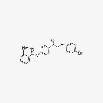 O=C(C[CH]c1ccc(Br)cc1)c1ccc(Nc2ncnc3ccccc23)cc1